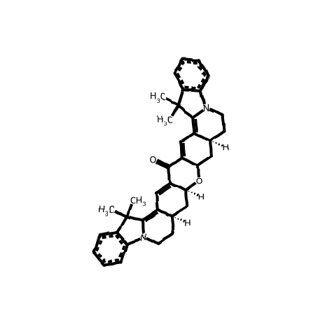 CC1(C)C2=C3C=C4C(=O)C5=CC6=C7N(CC[C@H]6CC5O[C@H]4C[C@H]3CCN2c2ccccc21)c1ccccc1C7(C)C